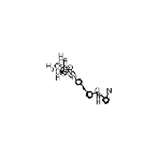 CC(C)C(NS(=O)(=O)N1CCN(c2ccc(C#Cc3cccc(C(=O)NCc4ccccc4C#N)c3)cc2)CC1)C(=O)O